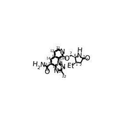 CC[C@@H]1CC(=O)N[C@@H]1COc1nccc2cc(C(N)=O)c3nc(C)nn3c12